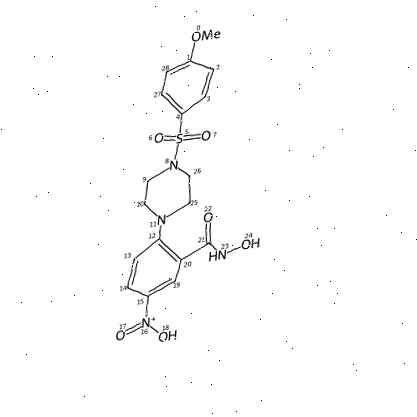 COc1ccc(S(=O)(=O)N2CCN(c3ccc([N+](=O)O)cc3C(=O)NO)CC2)cc1